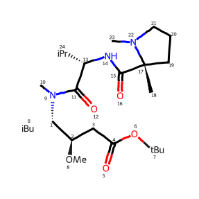 CC[C@H](C)[C@@H]([C@@H](CC(=O)OC(C)(C)C)OC)N(C)C(=O)[C@@H](NC(=O)[C@@]1(C)CCCN1C)C(C)C